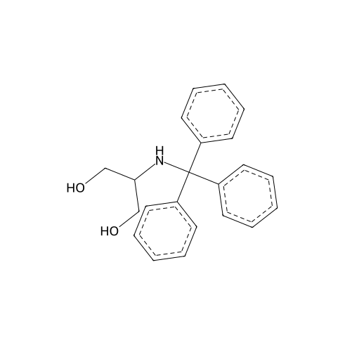 OCC(CO)NC(c1ccccc1)(c1ccccc1)c1ccccc1